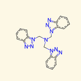 c1ccc2c(c1)nnn2CN(Cn1nnc2ccccc21)Cn1nnc2ccccc21